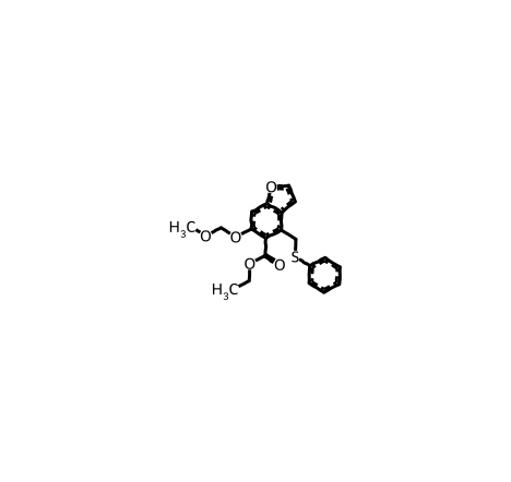 CCOC(=O)c1c(OCOC)cc2occc2c1CSc1ccccc1